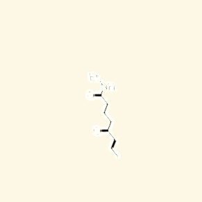 C/C=C/C(=O)CCCC(=O)NCC